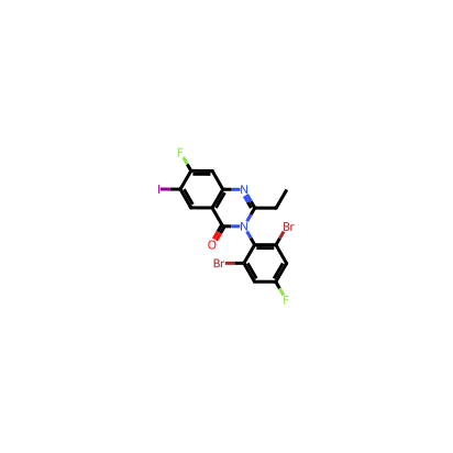 CCc1nc2cc(F)c(I)cc2c(=O)n1-c1c(Br)cc(F)cc1Br